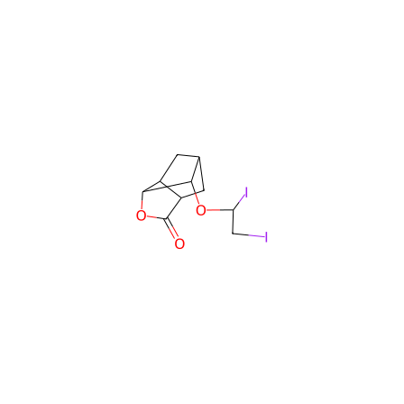 O=C1OC2C3CC(CC13)C2OC(I)CI